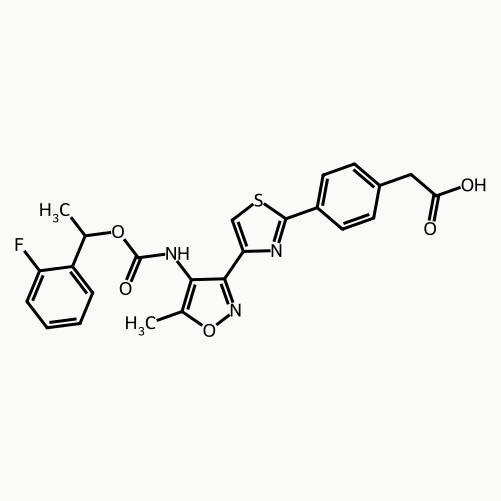 Cc1onc(-c2csc(-c3ccc(CC(=O)O)cc3)n2)c1NC(=O)OC(C)c1ccccc1F